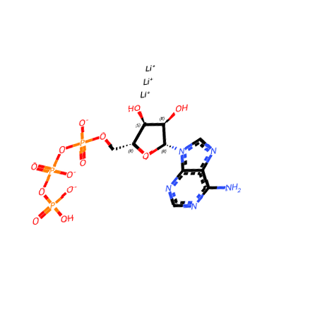 Nc1ncnc2c1ncn2[C@@H]1O[C@H](COP(=O)([O-])OP(=O)([O-])OP(=O)([O-])O)[C@@H](O)[C@H]1O.[Li+].[Li+].[Li+]